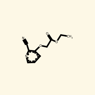 CCOC(=O)COc1cccnc1C#N